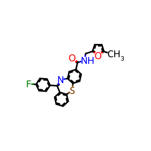 Cc1ccc(CNC(=O)c2ccc3c(c2)N=C(c2ccc(F)cc2)c2ccccc2S3)o1